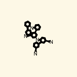 N#Cc1cc(-c2ccccc2-n2c3ccccc3c3ccccc32)cc(-n2c3ccc(C#N)cc3c3cc(C#N)ccc32)c1